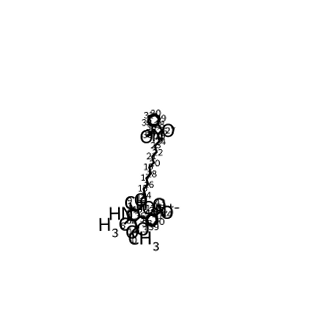 COC(=O)C1=C(C)NC(C)=C(C(=O)OCCCCCCCCCCCN2C(=O)c3ccccc3C2=O)C1c1cccc([N+](=O)[O-])c1